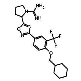 N=C(N)N1CCCC1c1nc(-c2ccc(OCC3CCCCC3)c(C(F)(F)F)c2)no1